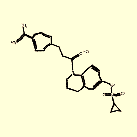 Cl.N=C(N)c1ccc(CCC(=O)N2CCCc3cc(NS(=O)(=O)C4CC4)ccc32)cc1